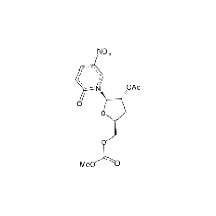 COC(=O)OC[C@@H]1C[C@@H](OC(C)=O)[C@H](n2cc([N+](=O)[O-])ccc2=O)O1